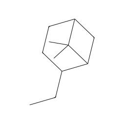 CCC1CCC2CC1C2(C)C